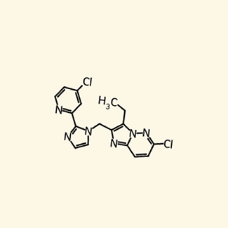 CCc1c(Cn2ccnc2-c2cc(Cl)ccn2)nc2ccc(Cl)nn12